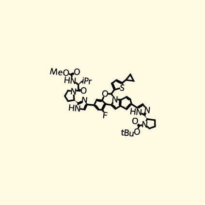 COC(=O)N[C@H](C(=O)N1CCC[C@H]1c1nc(-c2cc(F)c3c(c2)OC(c2ccc(C4CC4)s2)n2c-3cc3cc(-c4cnc([C@@H]5CCCN5C(=O)OC(C)(C)C)[nH]4)ccc32)c[nH]1)C(C)C